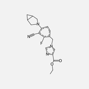 CCOC(=O)c1cn(Cc2ccc(N3CC4CC4C3)c(C#N)c2F)cn1